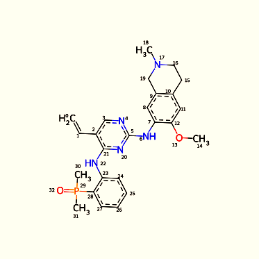 C=Cc1cnc(Nc2cc3c(cc2OC)CCN(C)C3)nc1Nc1ccccc1P(C)(C)=O